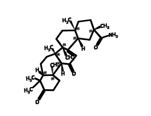 CC1(C)C(=O)CC[C@]2(C)[C@H]3C(=O)C=C4[C@H]5C[C@@](C)(C(N)=O)CC[C@]5(C)CC[C@@]4(C)[C@]3(C)CC[C@@H]12